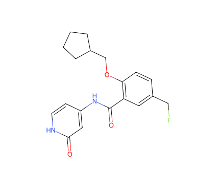 O=C(Nc1cc[nH]c(=O)c1)c1cc(CF)ccc1OCC1CCCC1